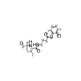 CC(C)[C@H](NC(C)(C)C=O)C(=O)NCCCC(=O)Oc1ccccc1Cl